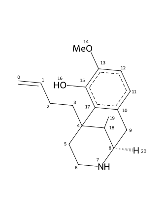 C=CCCC12CCN[C@H](Cc3ccc(OC)c(O)c31)C2C